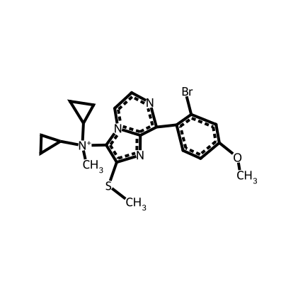 COc1ccc(-c2nccn3c([N+](C)(C4CC4)C4CC4)c(SC)nc23)c(Br)c1